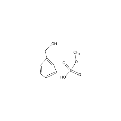 COS(=O)(=O)O.OCc1ccccc1